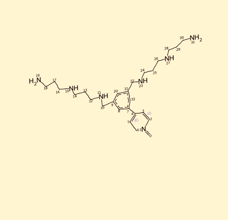 C=N/C=C\C(=C/C)c1cc(CNCCCNCCCN)cc(CNCCCNCCCN)c1